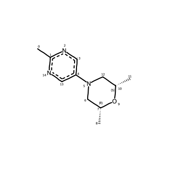 Cc1n[c]c(N2C[C@@H](C)O[C@@H](C)C2)cn1